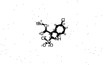 CC(C)(C)OC(=O)c1c(S(=O)(=O)Cl)[nH]c2ccc(Cl)cc12